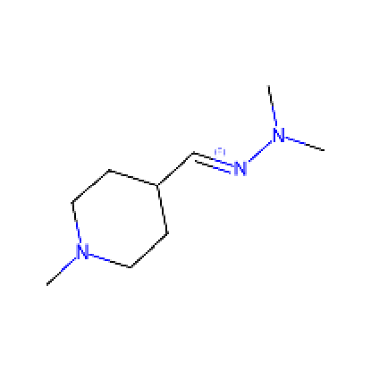 CN1CCC(/C=N/N(C)C)CC1